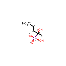 CC(O)(C=CC(=O)O)P(=O)(O)O